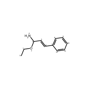 CCOC(N)C=Cc1ccccc1